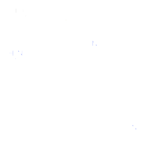 C=N/C=C\C=C(/C)c1ccc2c(N)c(C(=O)OCC)sc2n1